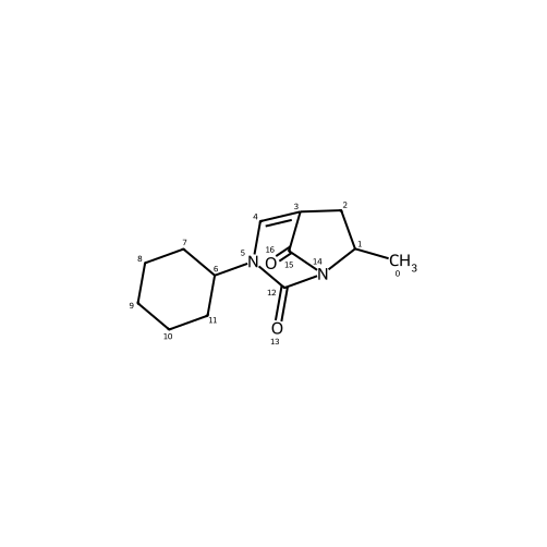 CC1Cc2cn(C3CCCCC3)c(=O)n1c2=O